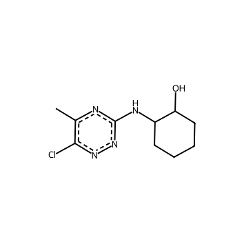 Cc1nc(NC2CCCCC2O)nnc1Cl